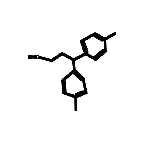 Cc1ccc(C(CCC=O)c2ccc(C)cc2)cc1